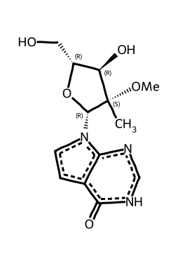 CO[C@@]1(C)[C@H](O)[C@@H](CO)O[C@H]1n1ccc2c(=O)[nH]cnc21